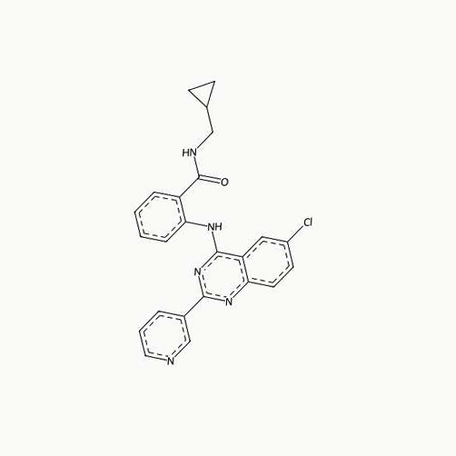 O=C(NCC1CC1)c1ccccc1Nc1nc(-c2cccnc2)nc2ccc(Cl)cc12